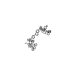 CC[C@@H]1CCN(C(=O)[C@@H](NC(=O)OC)C(C)(C)OC)[C@@H]1c1ncc(-c2ccc(-c3ccc4cc(-c5cnc([C@@H]6CC7(CC7)CN6C(=O)C(NC(=O)OC)C(C)C)[nH]5)ccc4c3)cc2)[nH]1